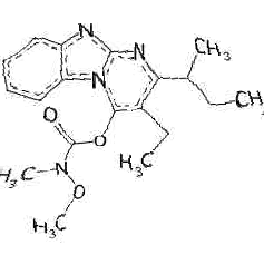 CCc1c(C(C)CC)nc2nc3ccccc3n2c1OC(=O)N(C)OC